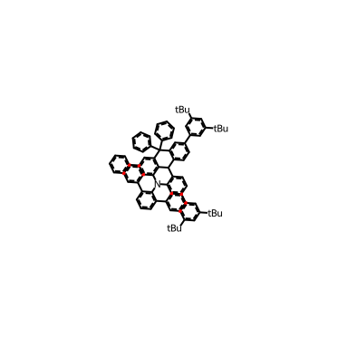 CC(C)(C)c1cc(-c2ccc3c(c2)N(c2c(-c4ccccc4)cccc2-c2ccccc2)c2cc(-c4ccccc4)cc4c2C3c2ccc(-c3cc(C(C)(C)C)cc(C(C)(C)C)c3)cc2C4(c2ccccc2)c2ccccc2)cc(C(C)(C)C)c1